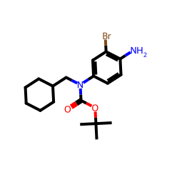 CC(C)(C)OC(=O)N(CC1CCCCC1)c1ccc(N)c(Br)c1